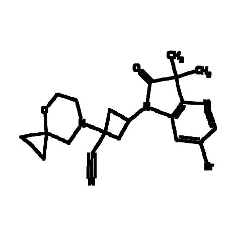 CC1(C)C(=O)N(C2CC(C#N)(N3CCOC4(CC4)C3)C2)c2cc(Br)cnc21